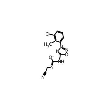 Cc1c(Cl)cccc1-[n+]1noc(NC([O-])=NCC#N)n1